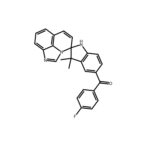 CC1(C)c2cc(C(=O)c3ccc(F)cc3)ccc2NC12C=Cc1cccc3ncn2c13